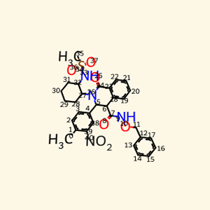 Cc1ccc(C2C(C(=O)NOCc3ccccc3)c3ccccc3C(=O)N2C2CCCCC2NS(C)(=O)=O)cc1[N+](=O)[O-]